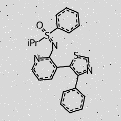 CC(C)S(=O)(=Nc1ncccc1-c1scnc1-c1ccccc1)c1ccccc1